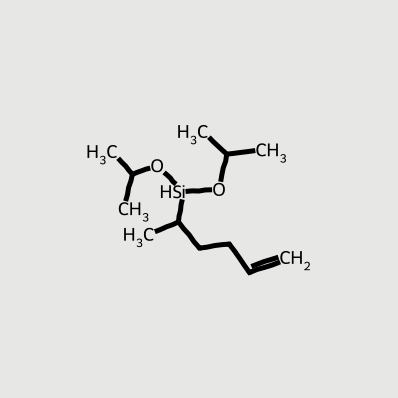 C=CCCC(C)[SiH](OC(C)C)OC(C)C